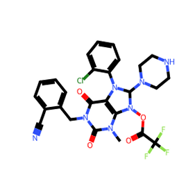 Cn1c2c(c(=O)n(Cc3ccccc3C#N)c1=O)N(c1ccccc1Cl)C(N1CCNCC1)N2OC(=O)C(F)(F)F